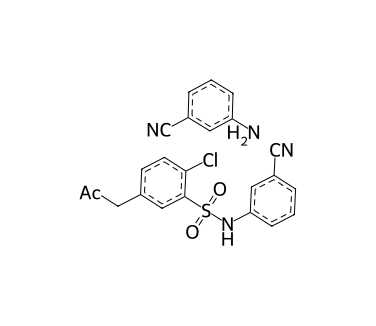 CC(=O)Cc1ccc(Cl)c(S(=O)(=O)Nc2cccc(C#N)c2)c1.N#Cc1cccc(N)c1